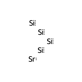 [Si].[Si].[Si].[Si].[Sr]